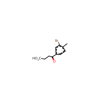 Cc1ccc(C(=O)CCC(=O)O)cc1Br